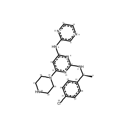 C[C@H](Nc1nc(Nc2cnccn2)cc(N2CCNCC2)n1)c1ccc(Cl)cc1